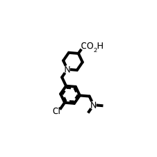 CN(C)Cc1cc(Cl)cc(CN2CCC(C(=O)O)CC2)c1